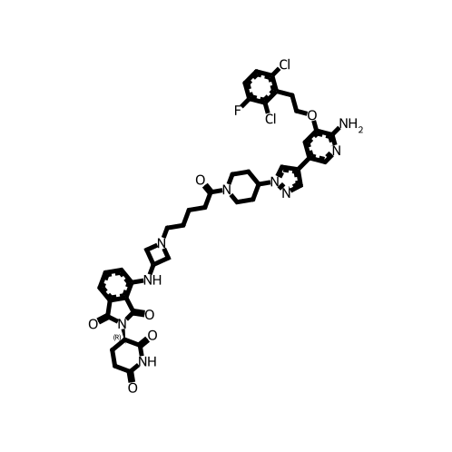 Nc1ncc(-c2cnn(C3CCN(C(=O)CCCCN4CC(Nc5cccc6c5C(=O)N([C@@H]5CCC(=O)NC5=O)C6=O)C4)CC3)c2)cc1OCCc1c(Cl)ccc(F)c1Cl